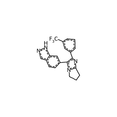 FC(F)(F)c1cccc(-c2nc3n(c2-c2ccc4cn[nH]c4c2)CCC3)c1